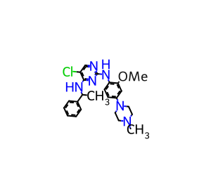 COc1cc(N2CCN(C)CC2)ccc1Nc1ncc(Cl)c(NC(C)c2ccccc2)n1